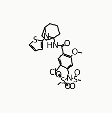 COc1cc(N(S(C)(=O)=O)S(C)(=O)=O)c(Cl)cc1C(=O)NC12CCCC(CC1)N2c1cccs1